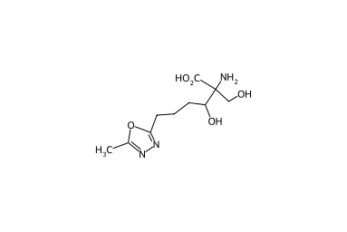 Cc1nnc(CCCC(O)C(N)(CO)C(=O)O)o1